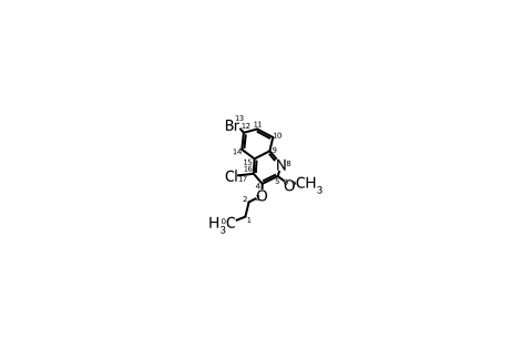 CCCOc1c(OC)nc2ccc(Br)cc2c1Cl